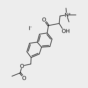 CC(=O)OCc1ccc2cc(C(=O)C(O)C[N+](C)(C)C)ccc2c1.[I-]